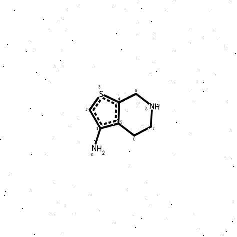 Nc1csc2c1CCNC2